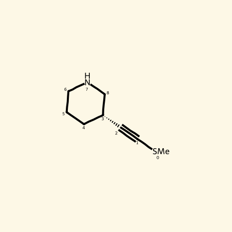 CSC#C[C@@H]1CCCNC1